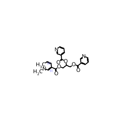 C=N/C=C(\C=C/C)C(=O)OCC(COC(=O)c1cccnc1)OC(=O)c1cccnc1